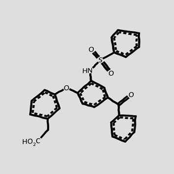 O=C(O)Cc1cccc(Oc2ccc(C(=O)c3ccccc3)cc2NS(=O)(=O)c2ccccc2)c1